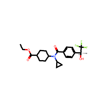 CCOC(=O)C1CCC(N(C(=O)c2ccc([C@](C)(O)C(F)(F)F)cc2)C2CC2)CC1